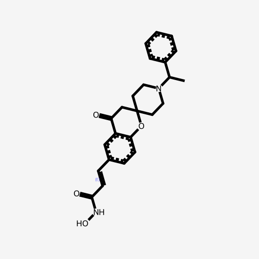 CC(c1ccccc1)N1CCC2(CC1)CC(=O)c1cc(/C=C/C(=O)NO)ccc1O2